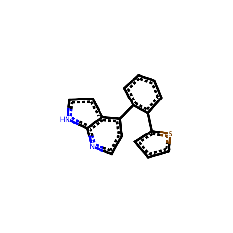 c1csc(-c2ccccc2-c2ccnc3[nH]ccc23)c1